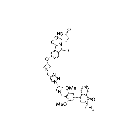 COc1cc(-c2cn(C)c(=O)c3cnccc23)cc(OC)c1CN1CC(n2cc(CN3CC(Oc4ccc5c(c4)C(=O)N(C4CCC(=O)NC4=O)C5=O)C3)nn2)C1